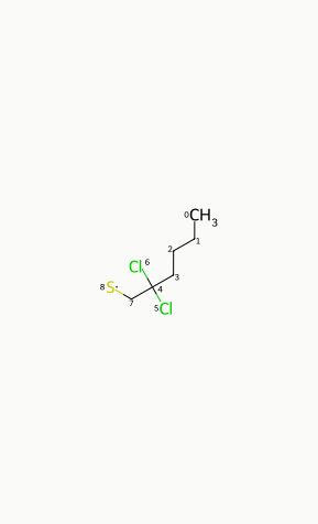 CCCCC(Cl)(Cl)C[S]